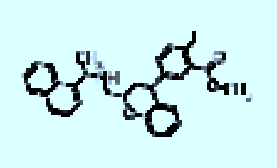 COC(=O)c1cc([C@@H]2C[C@H](CN[C@H](C)c3cccc4ccccc34)Oc3ccccc32)ccc1F